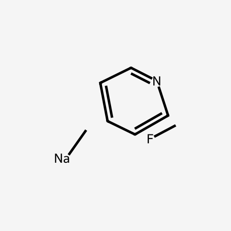 CF.[CH3][Na].c1ccncc1